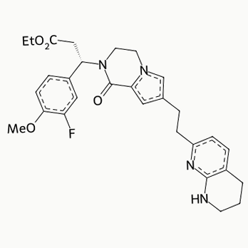 CCOC(=O)C[C@@H](c1ccc(OC)c(F)c1)N1CCn2cc(CCc3ccc4c(n3)NCCC4)cc2C1=O